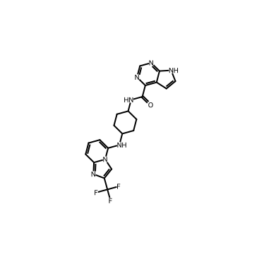 O=C(NC1CCC(Nc2cccc3nc(C(F)(F)F)cn23)CC1)c1ncnc2[nH]ccc12